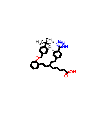 CC(C)(C)c1ccc(COc2ccccc2C=CC(CCCCC(=O)O)CCc2ccc(-c3nnn[nH]3)cc2)cc1